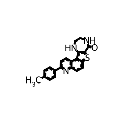 Cc1ccc(-c2ccc3c(ccc4sc5c(c43)NCCNC5=O)n2)cc1